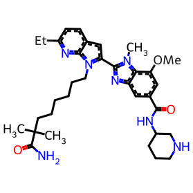 CCc1ccc2cc(-c3nc4cc(C(=O)NC5CCCNC5)cc(OC)c4n3C)n(CCCCCCC(C)(C)C(N)=O)c2n1